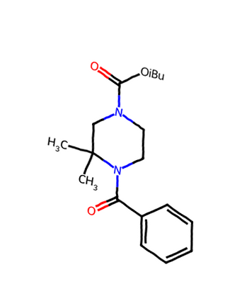 CC(C)COC(=O)N1CCN(C(=O)c2ccccc2)C(C)(C)C1